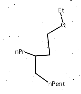 CCCCCCC(CCC)CCOCC